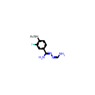 CC(=O)Nc1ccc(/C(N)=N/N=C\N)cc1F